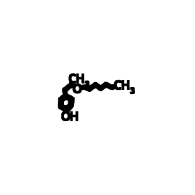 CCCCCCCOC(C)Cc1ccc(O)cc1